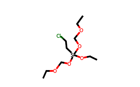 CCOCO[Si](CCCl)(OCC)OCOCC